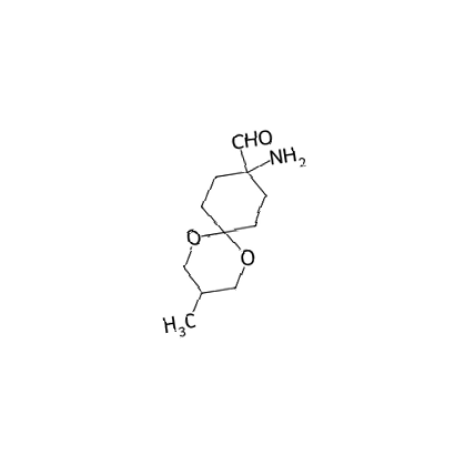 CC1COC2(CCC(N)(C=O)CC2)OC1